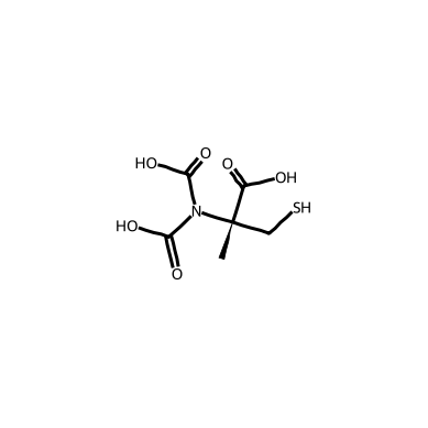 C[C@](CS)(C(=O)O)N(C(=O)O)C(=O)O